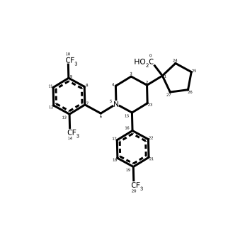 O=C(O)C1(C2CCN(Cc3cc(C(F)(F)F)ccc3C(F)(F)F)C(c3ccc(C(F)(F)F)cc3)C2)CCCC1